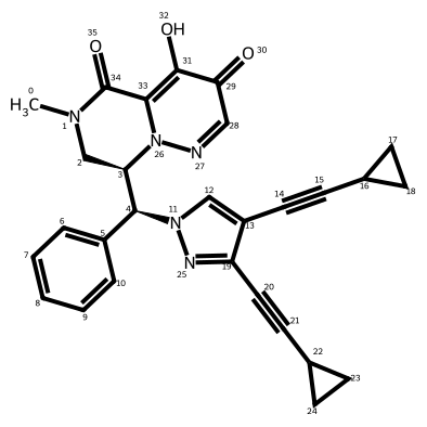 CN1C[C@H]([C@H](c2ccccc2)n2cc(C#CC3CC3)c(C#CC3CC3)n2)n2ncc(=O)c(O)c2C1=O